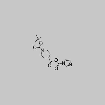 CC(C)(C)OC(=O)N1CCC(C(=O)OC(=O)n2ccnc2)CC1